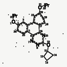 CC(C)Oc1ccc(-c2nnc(OC3CCC3)nc2-c2ccc(OC(C)C)cc2)cc1